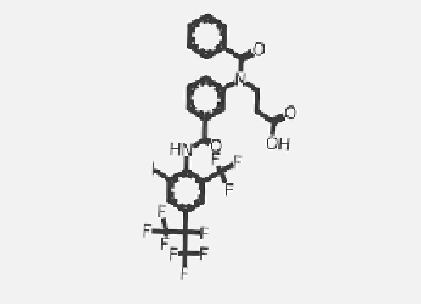 O=C(O)CCN(C(=O)c1ccccc1)c1cccc(C(=O)Nc2c(I)cc(C(F)(C(F)(F)F)C(F)(F)F)cc2C(F)(F)F)c1